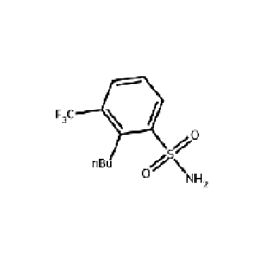 CCCCc1c(C(F)(F)F)cccc1S(N)(=O)=O